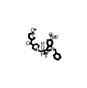 COc1ccc(C(=O)C2CCN(CC(O)(c3cn(Cc4ccccc4)c4cc([N+](=O)[O-])ccc34)C(F)(F)F)CC2)cc1